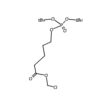 CC(C)(C)OP(=O)(OCCCCC(=O)OCCl)OC(C)(C)C